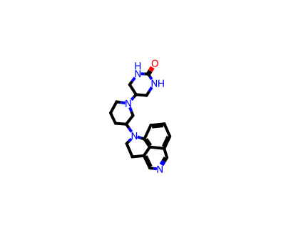 O=C1NCC(N2CCCC(N3CCc4cncc5cccc3c45)C2)CN1